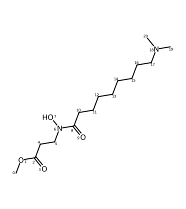 COC(=O)CCN(O)C(=O)CCCCCCCCN(C)C